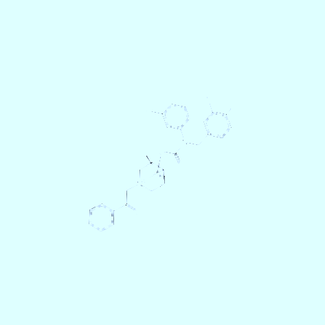 Cc1cccc(N(Cc2ccc(F)c(F)c2)C(=O)O[C@H]2C[N+]3(CC(=O)c4ccccc4)CCC2CC3)c1